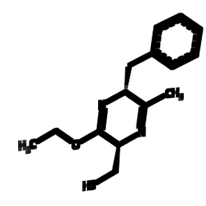 CCOC1=N[C@H](Cc2ccccc2)C(C)=N[C@H]1CS